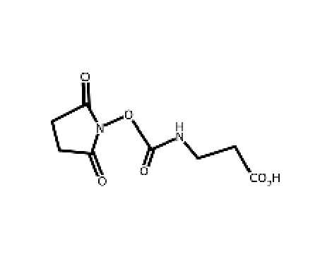 O=C(O)CCNC(=O)ON1C(=O)CCC1=O